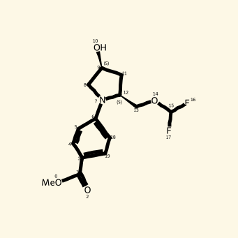 COC(=O)c1ccc(N2C[C@@H](O)C[C@H]2COC(F)F)cc1